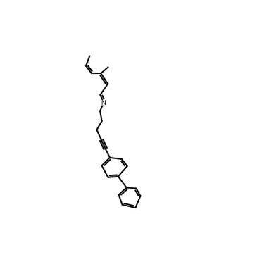 C\C=C/C(C)=C\C=N\CCCC#Cc1ccc(-c2ccccc2)cc1